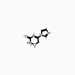 O=C1N=C(n2ccnc2)CON1